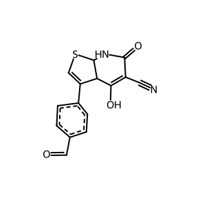 N#CC1=C(O)C2C(c3ccc(C=O)cc3)=CSC2NC1=O